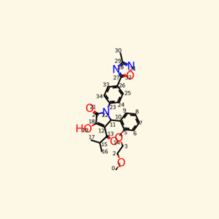 COCCOc1ccccc1C1C(C(=O)C(C)C)=C(O)C(=O)N1c1ccc(-c2nc(C)no2)cc1